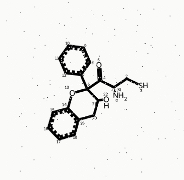 N[C@@H](CS)C(=O)C1(c2ccccc2)Oc2ccccc2CC1O